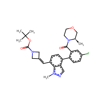 C[C@@H]1COCCN1C(=O)c1cc(F)ccc1-c1ccc(C=C2CN(C(=O)OC(C)(C)C)C2)c2c1cnn2C